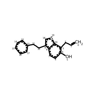 C=CCc1c(O)ccc2c(CCc3ccccc3)csc12